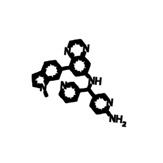 Cn1ccc2ccc(-c3cc(NC(c4cccnc4)c4ccc(N)nc4)cc4nccnc34)cc21